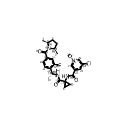 C[C@@H]1CC[C@H](C)N1C(=O)c1ccc([C@@H](C)NC(=O)C2(NC(=O)c3cc(Cl)c[n+]([O-])c3)CC2)c(F)c1